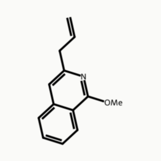 C=CCc1cc2ccccc2c(OC)n1